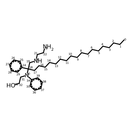 CCCCCCCCCCCCCCCCCCC(CNCCN)(c1ccccc1)N(CCO)c1ccccc1